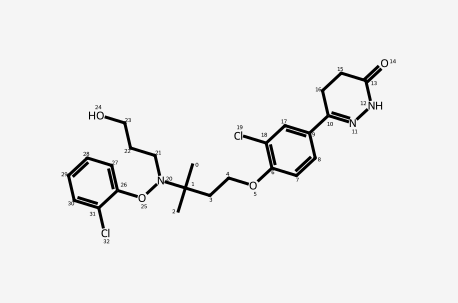 CC(C)(CCOc1ccc(C2=NNC(=O)CC2)cc1Cl)N(CCCO)Oc1ccccc1Cl